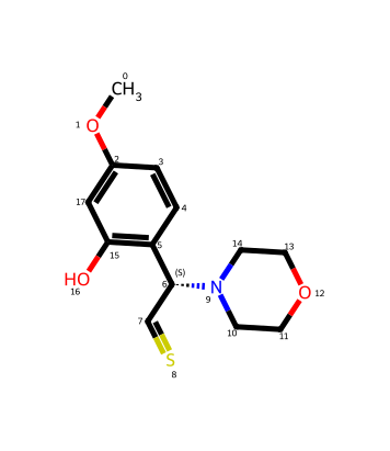 COc1ccc([C@@H](C=S)N2CCOCC2)c(O)c1